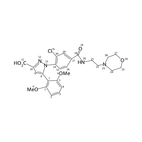 COc1cccc(OC)c1-c1cc(C(=O)O)nn1-c1ccc(C(=O)NCCN2CCOCC2)cc1Cl